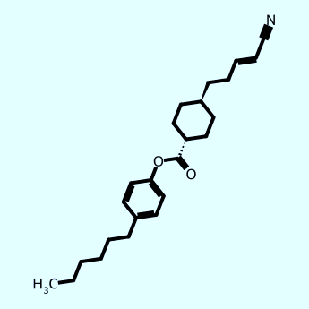 CCCCCCc1ccc(OC(=O)[C@H]2CC[C@H](CCC=CC#N)CC2)cc1